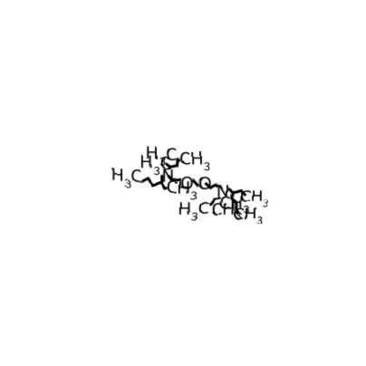 CCCCC(CC)CN(CCOCCOCCN(CC(CC)CCCC)C(C)CC(C)C)C(C)CC(C)C